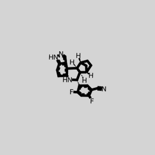 N#Cc1cc([C@@H]2Nc3ccc4[nH]ncc4c3[C@H]3[C@@H]4CC[C@@H](C4)[C@H]32)c(F)cc1F